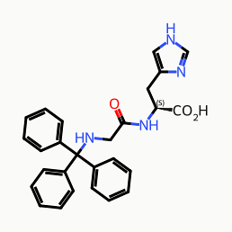 O=C(CNC(c1ccccc1)(c1ccccc1)c1ccccc1)N[C@@H](Cc1c[nH]cn1)C(=O)O